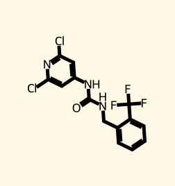 O=C(NCc1ccccc1C(F)(F)F)Nc1cc(Cl)nc(Cl)c1